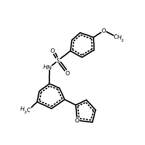 COc1ccc(S(=O)(=O)Nc2cc(C)cc(-c3ccco3)c2)cc1